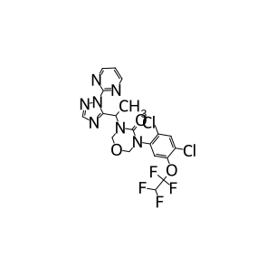 CC(c1ncnn1-c1ncccn1)N1COCN(c2cc(OC(F)(F)C(F)F)c(Cl)cc2Cl)C1=O